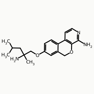 CC(C)CC(C)(N)COc1ccc2c(c1)COc1c-2ccnc1N